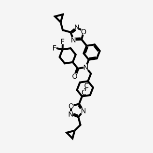 O=C(C1CCC(F)(F)CC1)N(CC12CCC(c3nc(CC4CC4)no3)(CC1)CC2)c1cccc(-c2nc(CC3CC3)no2)c1